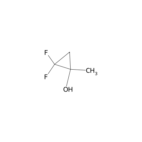 CC1(O)CC1(F)F